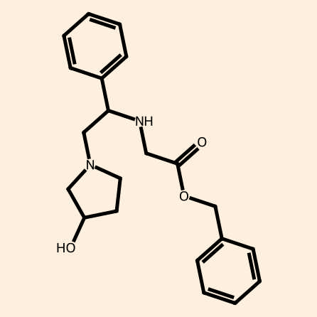 O=C(CNC(CN1CCC(O)C1)c1ccccc1)OCc1ccccc1